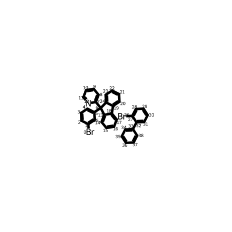 Brc1cccc(C2(c3ccccn3)c3ccccc3-c3ccccc32)c1.Brc1ccccc1-c1ccccc1